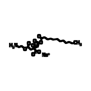 CCCCCCCCCCCC(=O)OC(=O)CC(O)(CC(=O)OCCN)C(=O)[O-].[Na+]